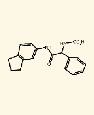 O=C(O)NC(C(=O)Nc1ccc2c(c1)CCC2)c1ccccc1